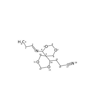 CC/C=N/C1OCOCC12COCOC2CCC#N